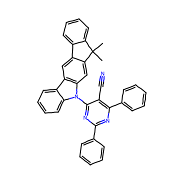 CC1(C)c2ccccc2-c2cc3c4ccccc4n(-c4nc(-c5ccccc5)nc(-c5ccccc5)c4C#N)c3cc21